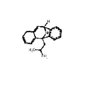 CC(C)C[C@]12N[C@H](C=C3CC=CC=C31)c1ccccc12